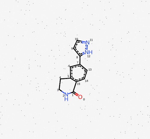 O=C1NCCc2cc(-c3ccn[nH]3)ccc21